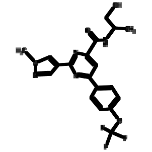 CC(CO)NC(=O)c1cc(-c2ccc(OC(F)(F)F)cc2)nc(-c2cnn(C)c2)n1